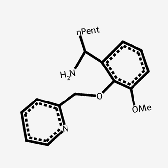 CCCCCC(N)c1cccc(OC)c1OCc1ccccn1